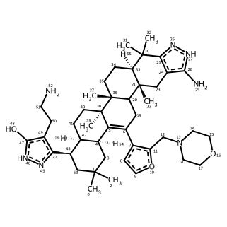 CC1(C)C[C@@H]2C3=C(c4ccoc4CN4CCOCC4)CC4[C@@]5(C)Cc6c(n[nH]c6N)C(C)(C)[C@@H]5CC[C@@]4(C)[C@]3(C)CC[C@@H]2[C@H](c2n[nH]c(O)c2CCN)C1